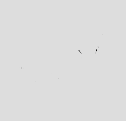 CCCS(=O)(=O)NC1CN(c2ccc3c(c2)[C@@H](Cc2ccccc2)[C@@H](N2CCC2)CC3)C1